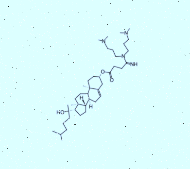 CC(C)CCCC(C)(O)[C@H]1CC[C@H]2[C@@H]3CC=C4C[C@@H](OC(=O)CCC(=N)N(CCCN(C)C)CCCN(C)C)CC[C@]4(C)C3CC[C@]12C